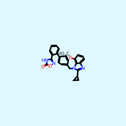 O=C(O)Oc1cccc2nc(C3CC3)n(Cc3ccc(-c4ccccc4-c4noc(=O)[nH]4)cc3)c12